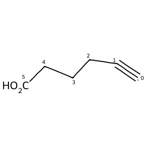 [C]#CCCCC(=O)O